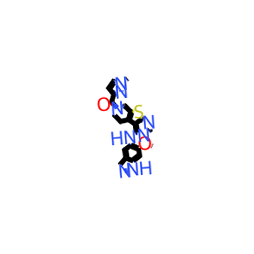 COc1cc2[nH]ncc2cc1Nc1ncnc2sc3c(c12)CCN(C(=O)c1ccn(C)n1)C3